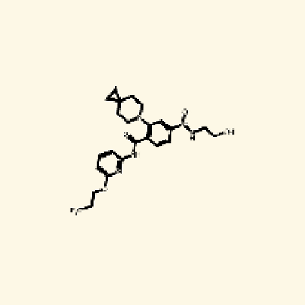 O=C(Nc1cccc(OCCC(F)(F)F)n1)c1ccc([S+]([O-])NCCO)cc1N1CCC2(CC1)CC2